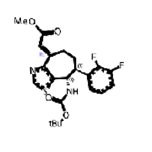 COC(=O)/C=C1\CC[C@@H](c2cccc(F)c2F)[C@H](NC(=O)OC(C)(C)C)c2scnc21